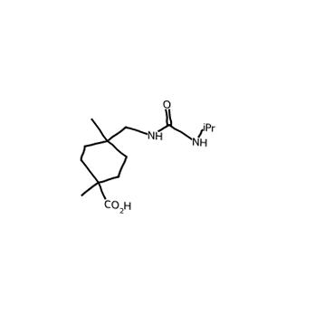 CC(C)NC(=O)NCC1(C)CCC(C)(C(=O)O)CC1